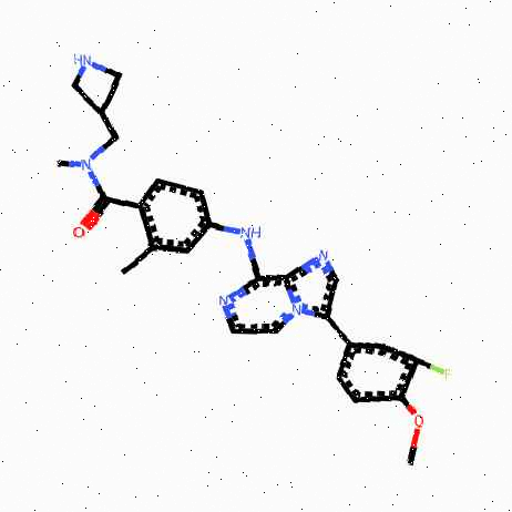 COc1ccc(-c2cnc3c(Nc4ccc(C(=O)N(C)CC5CNC5)c(C)c4)nccn23)cc1F